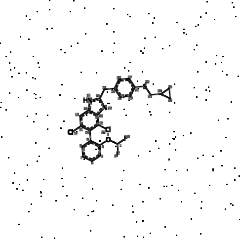 FC(F)Oc1ccccc1-c1c(Cl)cc2[nH]c(Cc3ccc(SCC4CC4)cc3)nc2c1Cl